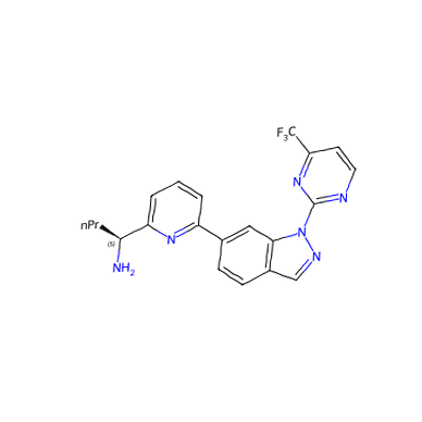 CCC[C@H](N)c1cccc(-c2ccc3cnn(-c4nccc(C(F)(F)F)n4)c3c2)n1